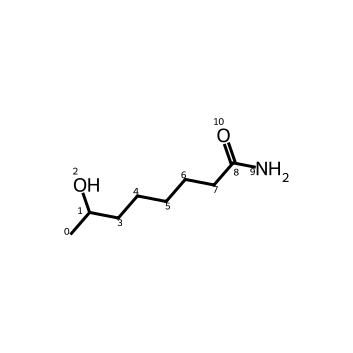 CC(O)CCCCCC(N)=O